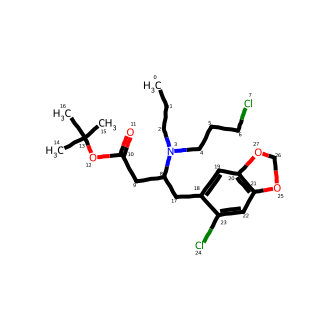 CCCN(CCCCl)C(CC(=O)OC(C)(C)C)Cc1cc2c(cc1Cl)OCO2